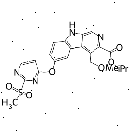 COCc1c(C(=O)OC(C)C)ncc2[nH]c3ccc(Oc4ccnc(S(C)(=O)=O)n4)cc3c12